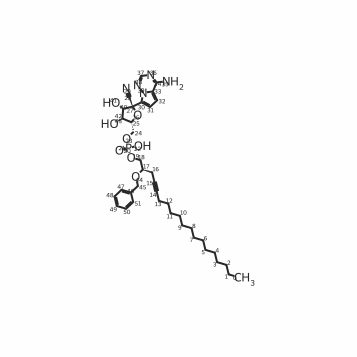 CCCCCCCCCCCCCCC#CC[C@H](COP(=O)(O)OC[C@H]1O[C@@](C#N)(c2ccc3c(N)ncnn23)[C@H](O)[C@@H]1O)OCc1ccccc1